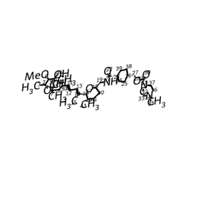 CO[C@H](C(C)OC(C)(C)C[C@H](C)/C=C/C=C(\C)[C@H]1O[C@@H](CNC(=O)[C@H]2CC[C@@H](COC(=O)N3CCN(C)CC3)CC2)CC[C@@H]1C)[C@@H](C)O